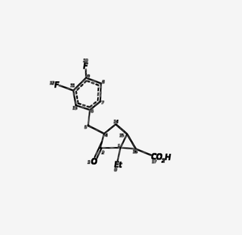 CCC12C(=O)C(Cc3ccc(F)c(F)c3)CC1C2C(=O)O